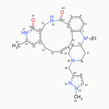 CCN(c1cccc2c1CC=CCCc1cc(C)[nH]c(=O)c1CNC2=O)C1CCN(Cc2ccn(C)n2)CC1